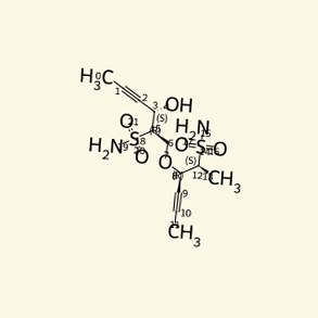 CC#C[C@H](O)[C@@H](CO[C@H](C#CC)[C@H](C)S(N)(=O)=O)S(N)(=O)=O